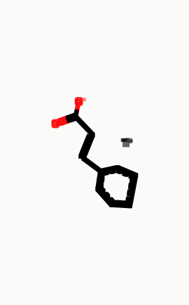 O=C([O-])/C=C/c1ccccc1.[Tl+]